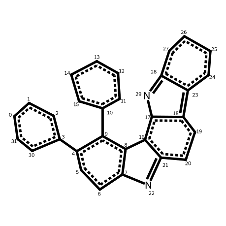 c1ccc(-c2ccc3c(c2-c2ccccc2)-c2c4c(ccc2=N3)=c2ccccc2=N4)cc1